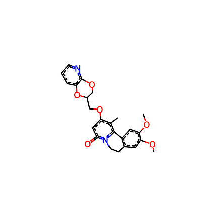 COc1cc2c(cc1OC)-c1c(C)c(OCC3COc4ncccc4O3)cc(=O)n1CC2